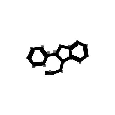 COCC1c2ccccc2CC1c1ccccc1